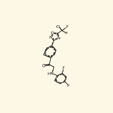 O=C(CNc1ccc(F)cc1F)c1ccc(-c2noc(C(F)(F)Cl)n2)cc1